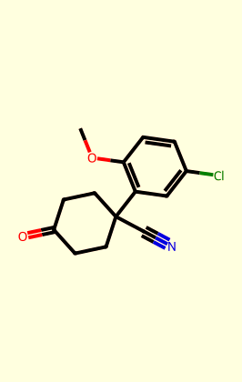 COc1ccc(Cl)cc1C1(C#N)CCC(=O)CC1